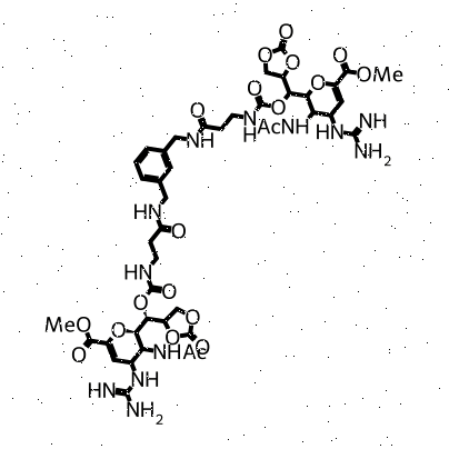 COC(=O)C1=CC(NC(=N)N)C(NC(C)=O)C(C(OC(=O)NCCC(=O)NCc2cccc(CNC(=O)CCNC(=O)O[C@H](C3COC(=O)O3)[C@@H]3OC(C(=O)OC)=CC(NC(=N)N)C3NC(C)=O)c2)C2COC(=O)O2)O1